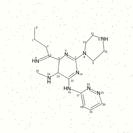 CCCC(=N)C1N=C(N2CCNCC2)N=C(Nc2cccnn2)C1NC